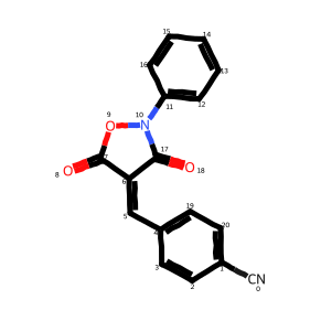 N#Cc1ccc(C=C2C(=O)ON(c3ccccc3)C2=O)cc1